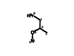 CCCCC(C)O[N]